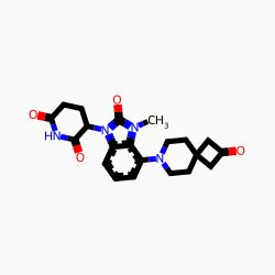 Cn1c(=O)n(C2CCC(=O)NC2=O)c2cccc(N3CCC4(CC3)CC(=O)C4)c21